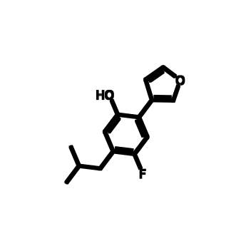 CC(C)Cc1cc(O)c(-c2ccoc2)cc1F